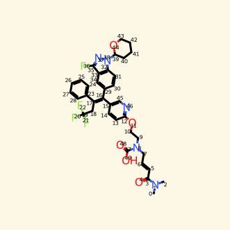 CN(C)C(=O)C=CCN(CCOc1ccc(C(=C(CC(F)(F)F)c2ccccc2)c2ccc3c(c2)c(F)nn3C2CCCCO2)cn1)C(=O)O